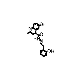 Cc1cc(C(=O)NN=CCc2ccccc2O)c2cc(Br)ccc2n1